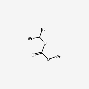 CCCOC(=O)OC(CC)C(C)C